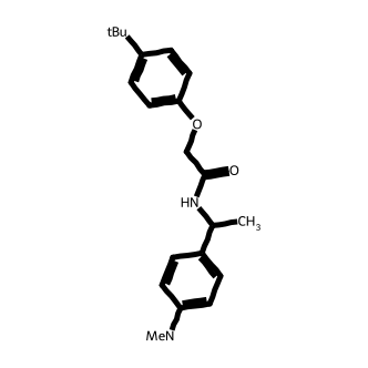 CNc1ccc(C(C)NC(=O)COc2ccc(C(C)(C)C)cc2)cc1